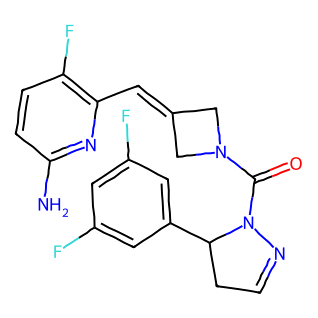 Nc1ccc(F)c(C=C2CN(C(=O)N3N=CCC3c3cc(F)cc(F)c3)C2)n1